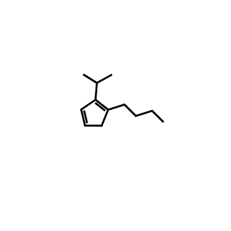 CCCCC1=C(C(C)C)C=CC1